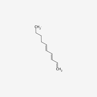 [CH2]CCC/C=C/C=C/C=C